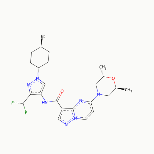 CC[C@H]1CC[C@H](n2cc(NC(=O)c3cnn4ccc(N5C[C@H](C)O[C@@H](C)C5)nc34)c(C(F)F)n2)CC1